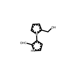 O=Cc1[nH]ccc1-n1cccc1CO